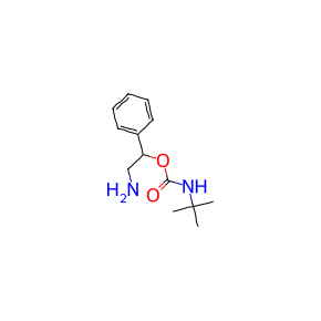 CC(C)(C)NC(=O)OC(CN)c1ccccc1